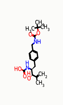 C=C(C)[C@H](O)[C@H](Cc1ccc(CNC(=O)OC(C)(C)C)cc1)NC(=O)O